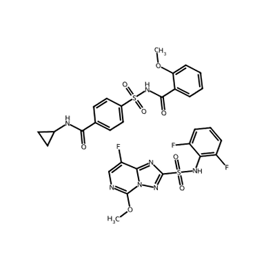 COc1ccccc1C(=O)NS(=O)(=O)c1ccc(C(=O)NC2CC2)cc1.COc1ncc(F)c2nc(S(=O)(=O)Nc3c(F)cccc3F)nn12